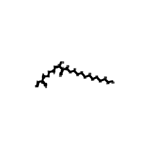 C=CC(=O)OCCOC=C(C)C(=O)OCCCCCCCCCCCC